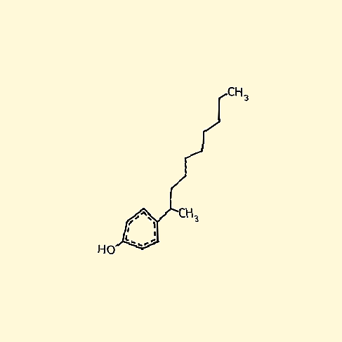 CCCCCCCCC(C)c1ccc(O)cc1